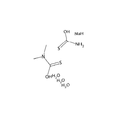 CN(C)C(O)=S.NC(O)=S.O.O.O.[NaH]